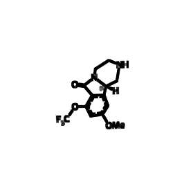 COc1cc(OC(F)(F)F)c2c(c1)[C@H]1CNCCN1C2=O